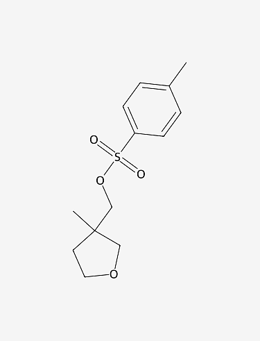 Cc1ccc(S(=O)(=O)OCC2(C)CCOC2)cc1